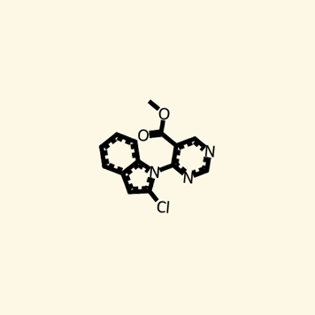 COC(=O)c1cncnc1-n1c(Cl)cc2ccccc21